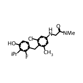 CNC(=O)CNc1cc(C)c(Cc2ccc(O)c(C(C)C)c2F)c(Cl)c1